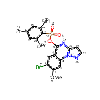 COc1cc2c(cc1Br)c(OS(=O)(=O)c1c(C(C)C)cc(C(C)C)cc1C(C)C)nc1ccnn12